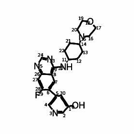 Oc1cncc(-c2cc3c(N[C@H]4CC[C@H](N5CCOCC5)CC4)ncnc3cc2F)c1